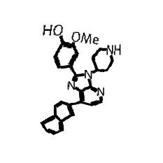 COc1cc(-c2nc3c(-c4ccc5ccccc5c4)ccnc3n2C2CCNCC2)ccc1O